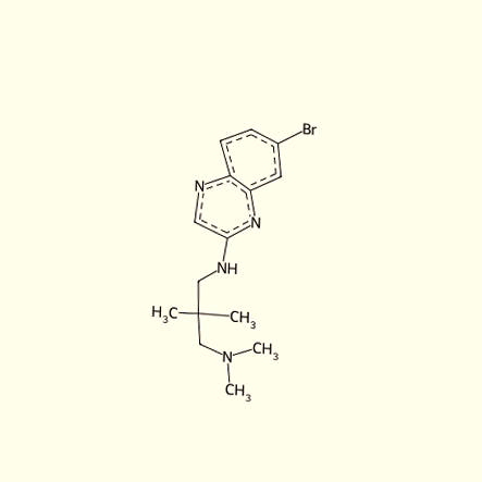 CN(C)CC(C)(C)CNc1cnc2ccc(Br)cc2n1